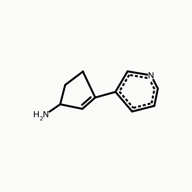 NC1C=C(c2cccnc2)CC1